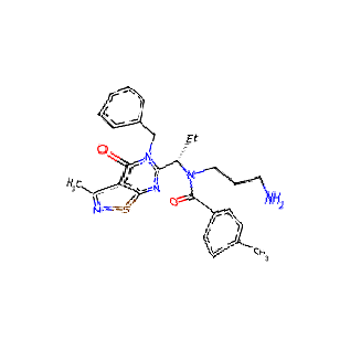 CC[C@@H](c1nc2snc(C)c2c(=O)n1Cc1ccccc1)N(CCCN)C(=O)c1ccc(C)cc1